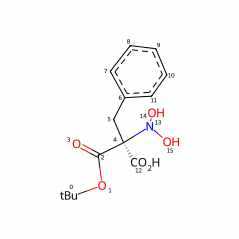 CC(C)(C)OC(=O)[C@](Cc1ccccc1)(C(=O)O)N(O)O